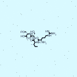 CC[C@H](C)[C@H](NC(=O)[C@H](N)CCCNC(=N)N)C(=O)N[C@@H](CO)C(=O)N[C@@H](CO)C(=O)O